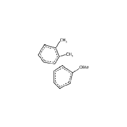 COc1ccccc1.Cc1ccccc1C